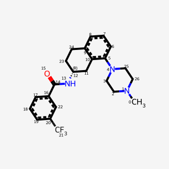 CN1CCN(c2cccc3c2C[C@H](NC(=O)c2cccc(C(F)(F)F)c2)CC3)CC1